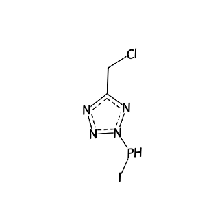 ClCc1nnn(PI)n1